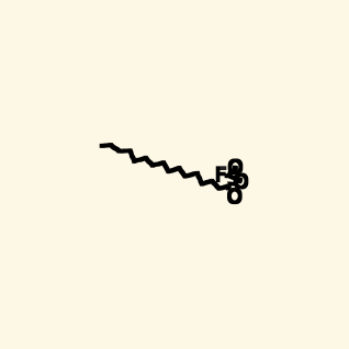 CCCCCCCCCCCCCCCC(=O)S(=O)(=O)F